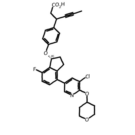 CC#CC(CC(=O)O)c1ccc(O[C@@H]2CCc3c(-c4cnc(OC5CCOCC5)c(Cl)c4)ccc(F)c32)cc1